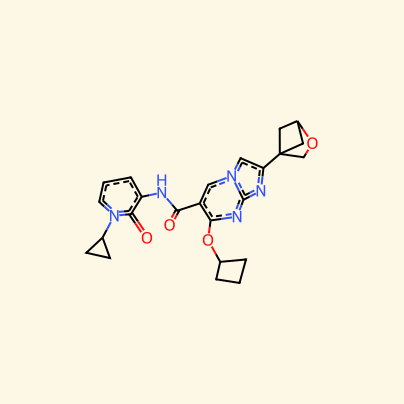 O=C(Nc1cccn(C2CC2)c1=O)c1cn2cc(C34COC(C3)C4)nc2nc1OC1CCC1